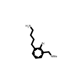 CNCc1cccc(CCCCN)c1C(C)=O